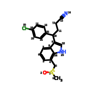 C[S+]([O-])Cc1cccc2c(C(CCC#N)c3ccc(Cl)cc3)c[nH]c12